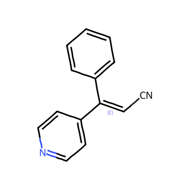 N#C/C=C(\c1ccccc1)c1ccncc1